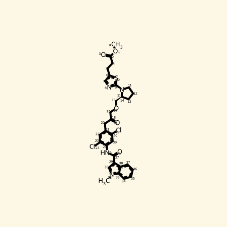 COC(=O)CCc1cnc(N2CCC[C@H]2COCC(=O)Cc2cc(Cl)c(NC(=O)c3cn(C)c4ccccc34)cc2Cl)s1